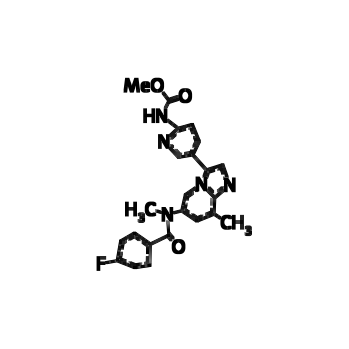 COC(=O)Nc1ccc(-c2cnc3c(C)cc(N(C)C(=O)c4ccc(F)cc4)cn23)cn1